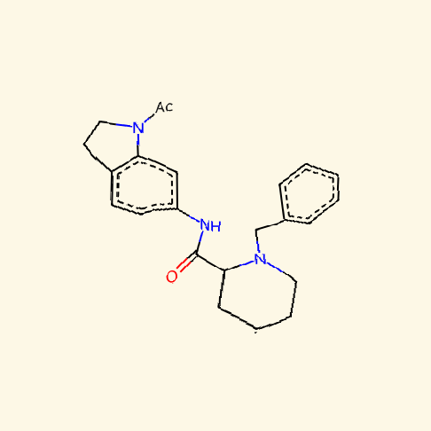 CC(=O)N1CCc2ccc(NC(=O)C3C[CH]CCN3Cc3ccccc3)cc21